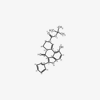 CC(C)(C)OC(=O)N1C=c2c3c(O)ccc4oc(-c5ccccc5)c(c(=O)n2CC1)c43